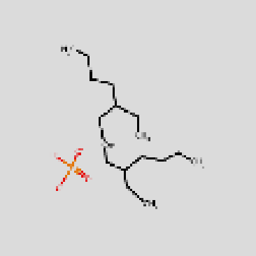 CCCCC(CC)[CH2][Ce+3][CH2]C(CC)CCCC.O=P([O-])([O-])[O-]